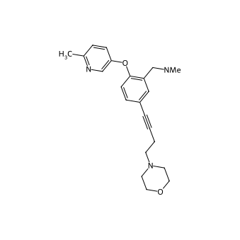 CNCc1cc(C#CCCN2CCOCC2)ccc1Oc1ccc(C)nc1